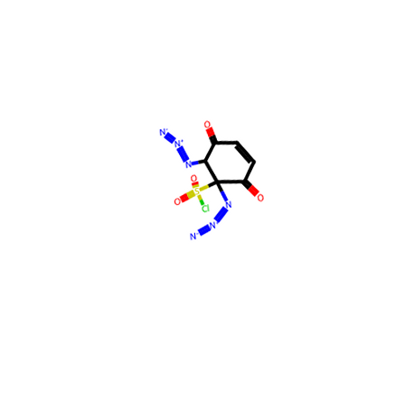 [N-]=[N+]=NC1C(=O)C=CC(=O)C1(N=[N+]=[N-])S(=O)(=O)Cl